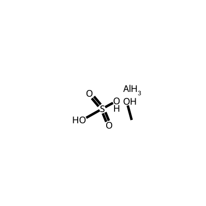 CO.O=S(=O)(O)O.[AlH3]